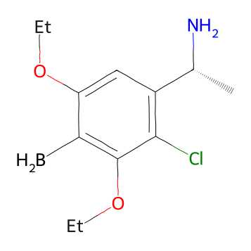 Bc1c(OCC)cc([C@@H](C)N)c(Cl)c1OCC